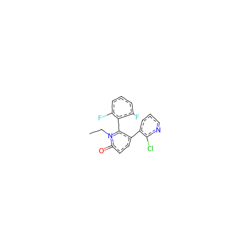 CCn1c(-c2c(F)cccc2F)c(-c2cccnc2Cl)ccc1=O